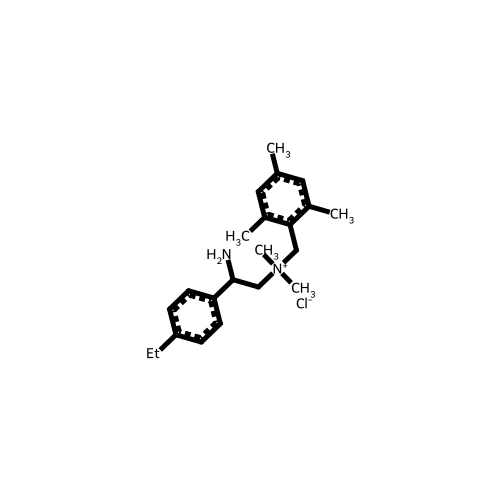 CCc1ccc(C(N)C[N+](C)(C)Cc2c(C)cc(C)cc2C)cc1.[Cl-]